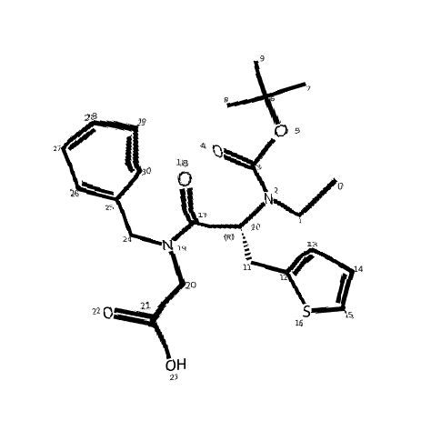 CCN(C(=O)OC(C)(C)C)[C@H](Cc1cccs1)C(=O)N(CC(=O)O)Cc1ccccc1